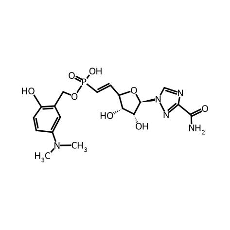 CN(C)c1ccc(O)c(COP(=O)(O)/C=C/C2O[C@@H](n3cnc(C(N)=O)n3)[C@H](O)[C@@H]2O)c1